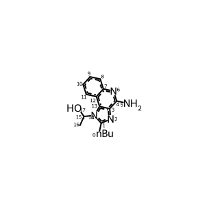 CCCCc1nc2c(N)nc3ccccc3c2n1[C](C)O